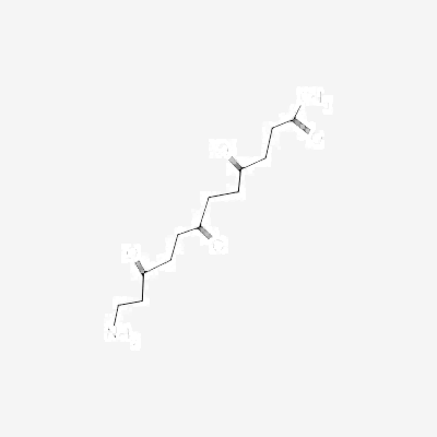 CC(=O)CCC(=O)CCC(=O)CCC(=O)CCN